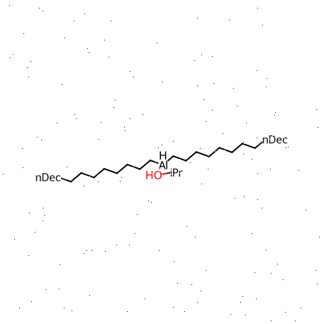 CC(C)O.CCCCCCCCCCCCCCCCC[CH2][AlH][CH2]CCCCCCCCCCCCCCCCC